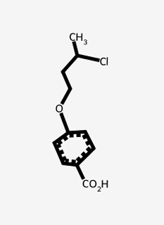 CC(Cl)CCOc1ccc(C(=O)O)cc1